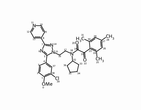 COc1ccc(-c2nc(-c3ccncc3)nn2CCN(C(=O)C(=O)c2c(C)cc(C)cc2C)C2CCCC2)cc1Cl